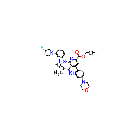 CCOC(=O)c1cc(-c2ccc(N3CCOCC3)cc2)c(C(=N)C(C)C)c(Nc2cccc(N3CCC(F)C3)c2)n1